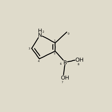 Cc1[nH]ccc1B(O)O